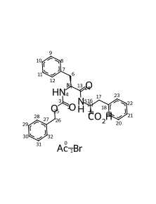 CC(=O)Br.O=C(N[C@@H](Cc1ccccc1)C(=O)N[C@@H](Cc1ccccc1)C(=O)O)OCc1ccccc1